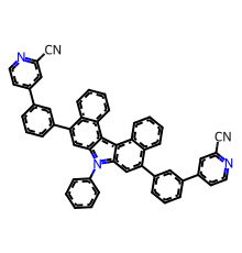 N#Cc1cc(-c2cccc(-c3cc4c(c5ccccc35)c3c5ccccc5c(-c5cccc(-c6ccnc(C#N)c6)c5)cc3n4-c3ccccc3)c2)ccn1